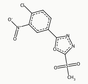 CS(=O)(=O)c1nnc(-c2ccc(Cl)c([N+](=O)[O-])c2)o1